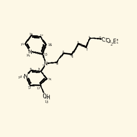 CCOC(=O)CCCCCCN(c1cncc(O)c1)c1ccccn1